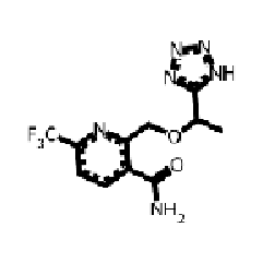 CC(OCc1nc(C(F)(F)F)ccc1C(N)=O)c1nnn[nH]1